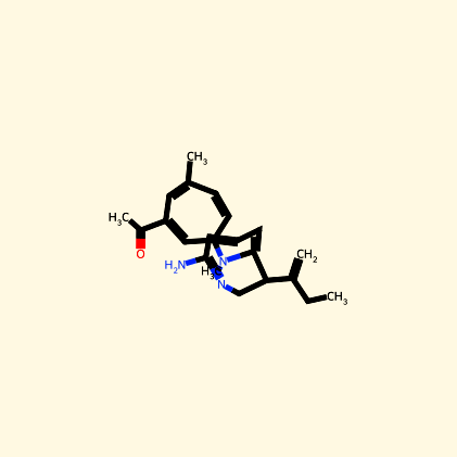 C=C(CC)C1C\N=C(N)/C=C/C=C/1N(C)C1C=CC(C)=CC(C(C)=O)=C1